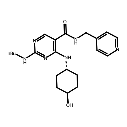 CCCCNc1ncc(C(=O)NCc2ccncc2)c(N[C@H]2CC[C@H](O)CC2)n1